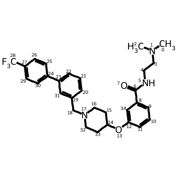 CN(C)CCNC(=O)c1cccc(OC2CCN(Cc3cccc(-c4ccc(C(F)(F)F)cc4)c3)CC2)c1